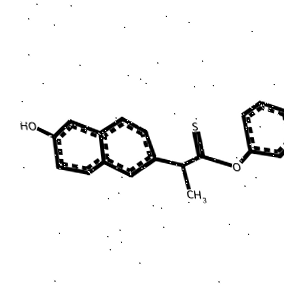 CC(C(=S)Oc1ccccc1)c1ccc2cc(O)ccc2c1